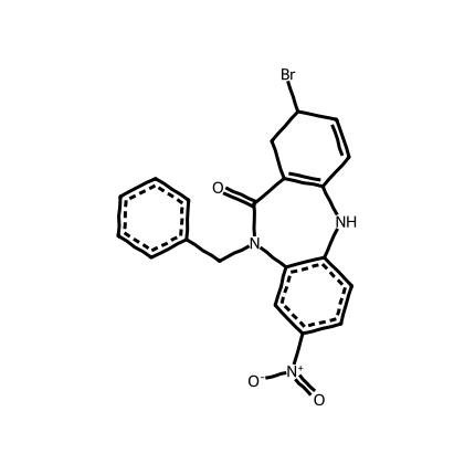 O=C1C2=C(C=CC(Br)C2)Nc2ccc([N+](=O)[O-])cc2N1Cc1ccccc1